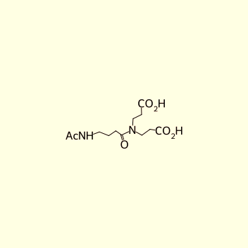 CC(=O)NCCCC(=O)N(CCC(=O)O)CCC(=O)O